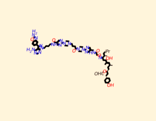 C/C(=C\[C@@H](C)CC[C@@H](CC[C@H]1CC[C@H](O)CC1)OC=O)[C@@H](O)C/C(=N/OCC(=O)NCc1cnc(N2CCN(C(=O)CCCN3CCN(c4ncc(C(=O)NCCCCn5nc(-c6ccc7oc(N)nc7c6)c6c(N)ncnc65)cn4)CC3)CC2)nc1)[C@H](C)CC(C)C